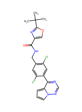 CC(C)(C)c1nc(C(=O)NCc2cc(F)c(-c3ncnn4cccc34)cc2Cl)co1